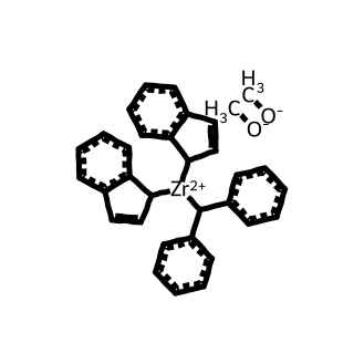 C1=C[CH]([Zr+2]([CH]2C=Cc3ccccc32)[CH](c2ccccc2)c2ccccc2)c2ccccc21.C[O-].C[O-]